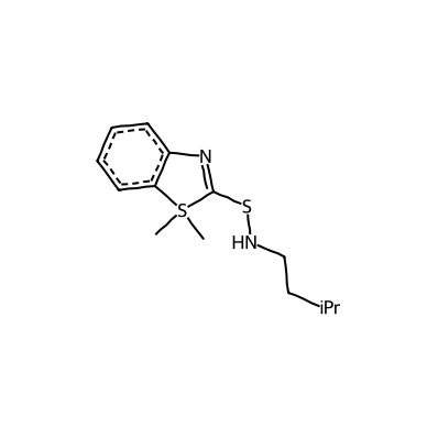 CC(C)CCNSC1=Nc2ccccc2S1(C)C